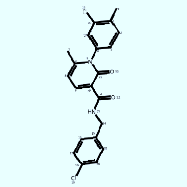 Cc1ccc(-n2c(C)ccc(C(=O)NCc3ccc(Cl)cc3)c2=O)cc1Cl